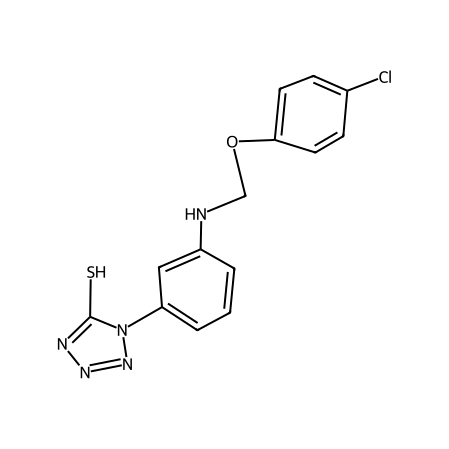 Sc1nnnn1-c1cccc(NCOc2ccc(Cl)cc2)c1